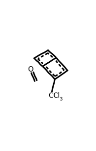 C=O.ClC(Cl)(Cl)c1cc2ccc1-2